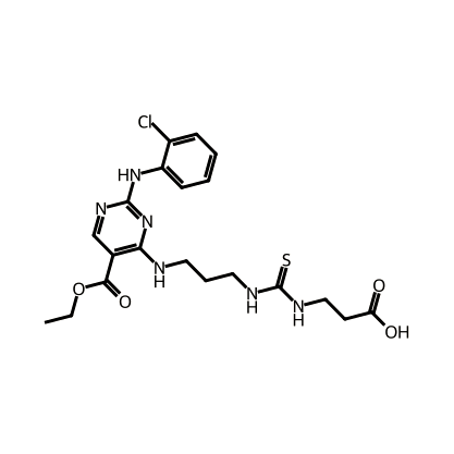 CCOC(=O)c1cnc(Nc2ccccc2Cl)nc1NCCCNC(=S)NCCC(=O)O